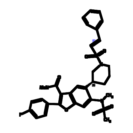 CNC(=O)c1c(-c2ccc(F)cc2)oc2cc(N(C)S(C)(=O)=O)c([C@H]3CCCN(S(=O)(=O)/C=C/c4ccccc4)C3)cc12